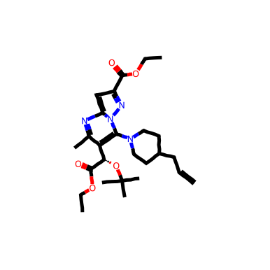 C=CCC1CCN(c2c([C@H](OC(C)(C)C)C(=O)OCC)c(C)nc3cc(C(=O)OCC)nn23)CC1